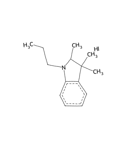 CCCN1c2ccccc2C(C)(C)C1C.I